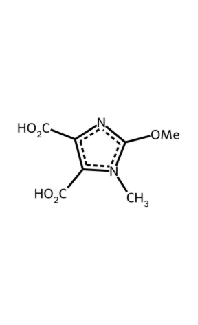 COc1nc(C(=O)O)c(C(=O)O)n1C